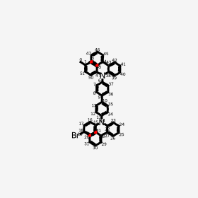 Cc1ccc(N(c2ccc(-c3ccc(N(c4ccc(Br)cc4)c4ccccc4-c4ccccc4)cc3)cc2)c2ccccc2-c2ccccc2)cc1